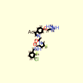 CC(=O)c1cn(CC(=O)N2C[C@H](F)C[C@H]2C(=O)NCc2cccc(Cl)c2F)c2cc(OCc3n[nH][nH]3)ccc12